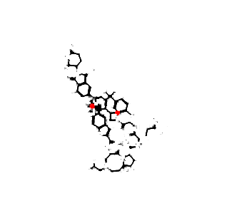 CC(C)(C)c1ccc(C[C@H](NC(=O)[C@H](CCC(N)=O)NC(=O)[C@@H]2CC[C@@H]3CCN(CC(F)F)C[C@H](NC(=O)c4cc5cc(C(F)(F)P(=O)(O)O)ccc5s4)C(=O)N32)C(=O)N2CC(C3CCN(c4ccc5c(c4)C(=O)N(C4CCC(=O)NC4=O)C5=O)CC3)C2)cc1